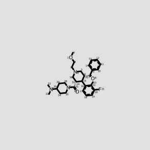 COCCN1C[C@H](C(=O)c2ccccc2)C(c2cccc(F)c2C)[C@H](C(=O)N2CCC(N(C)C)CC2)C1